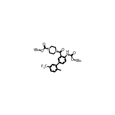 Cc1ccc(C(F)(F)F)cc1-c1ccc(NC(=O)OC(C)(C)C)c(C(=O)N2CCN(C(=O)OC(C)(C)C)CC2)c1